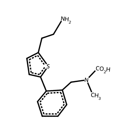 CN(Cc1ccccc1-c1ccc(CCN)s1)C(=O)O